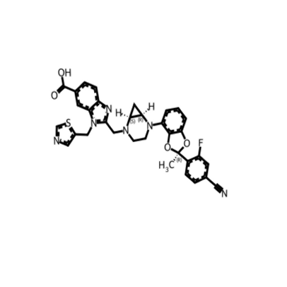 C[C@@]1(c2ccc(C#N)cc2F)Oc2cccc(N3CCN(Cc4nc5ccc(C(=O)O)cc5n4Cc4cncs4)[C@H]4C[C@H]43)c2O1